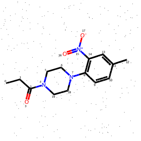 CCC(=O)N1CCN(c2ccc(C)cc2[N+](=O)[O-])CC1